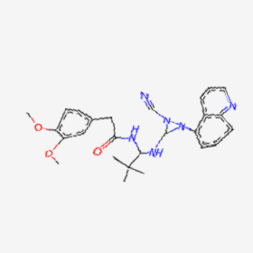 COc1ccc(CC(=O)NC(NC2N(C#N)N2c2cccc3ncccc23)C(C)(C)C)cc1OC